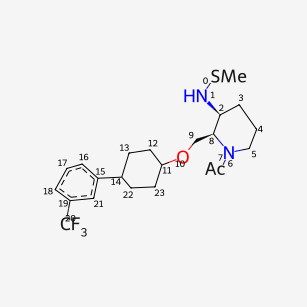 CSN[C@H]1CCCN(C(C)=O)[C@H]1COC1CCC(c2cccc(C(F)(F)F)c2)CC1